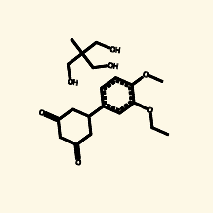 CC(CO)(CO)CO.CCOc1cc(C2CC(=O)CC(=O)C2)ccc1OC